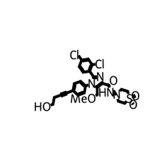 COCc1c(C(=O)NN2CCS(=O)(=O)CC2)nc(-c2ccc(Cl)cc2Cl)n1-c1ccc(C#CCCO)cc1